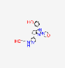 OCCCNc1cc(C2CCc3c(-c4cccc(O)c4)nc(N4CCOCC4)nc32)ccn1